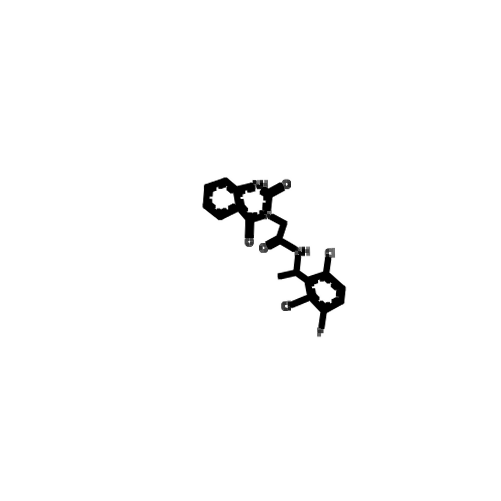 CC(NC(=O)Cn1c(=O)[nH]c2ccccc2c1=O)c1c(Cl)ccc(F)c1Cl